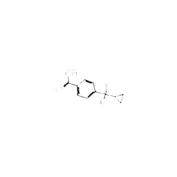 O=C(O)c1ccc(C(F)(F)C2CC2)cc1